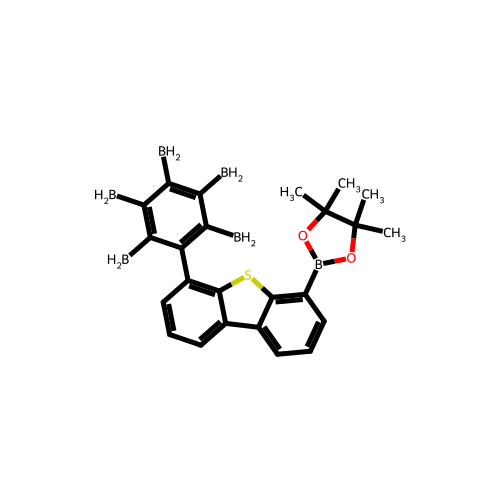 Bc1c(B)c(B)c(-c2cccc3c2sc2c(B4OC(C)(C)C(C)(C)O4)cccc23)c(B)c1B